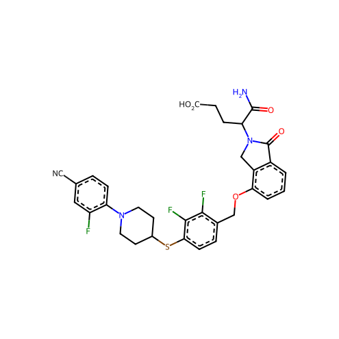 N#Cc1ccc(N2CCC(Sc3ccc(COc4cccc5c4CN(C(CCC(=O)O)C(N)=O)C5=O)c(F)c3F)CC2)c(F)c1